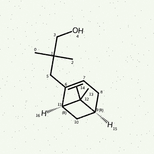 CC(C)(CO)CC1=CC[C@H]2C[C@@H]1C2(C)C